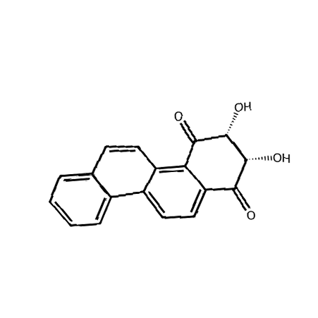 O=C1c2ccc3c(ccc4ccccc43)c2C(=O)[C@H](O)[C@@H]1O